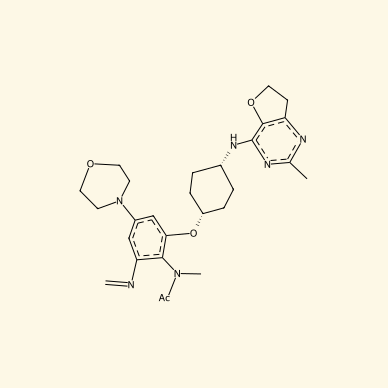 C=Nc1cc(N2CCOCC2)cc(O[C@H]2CC[C@@H](Nc3nc(C)nc4c3OCC4)CC2)c1N(C)C(C)=O